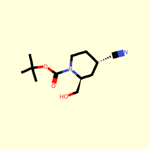 CC(C)(C)OC(=O)N1CC[C@H](C#N)C[C@H]1CO